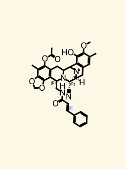 COc1c(C)cc2c(c1O)C1C3Cc4c(OC(C)=O)c(C)c5c(c4[C@H](CNC(=O)/C=C/c4ccccc4)N3[C@@H](C#N)[C@H](C2)N1C)OCO5